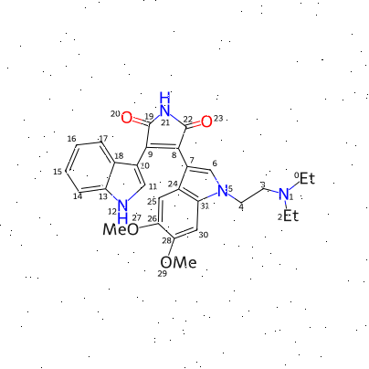 CCN(CC)CCn1cc(C2=C(c3c[nH]c4ccccc34)C(=O)NC2=O)c2cc(OC)c(OC)cc21